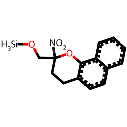 O=[N+]([O-])C1(CO[SiH3])CCc2ccc3ccccc3c2O1